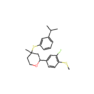 CSc1ccc(C2CC(C)(Sc3cccc(C(C)C)c3)CCO2)cc1F